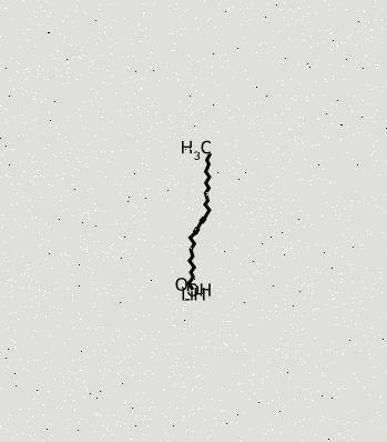 CCCCCCCCCCCCC#CC#CCCCCCCCCC(=O)O.[LiH]